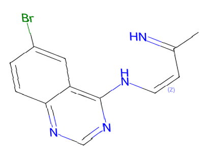 CC(=N)/C=C\Nc1ncnc2ccc(Br)cc12